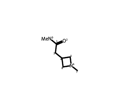 CNC(=O)CC1CN(C)C1